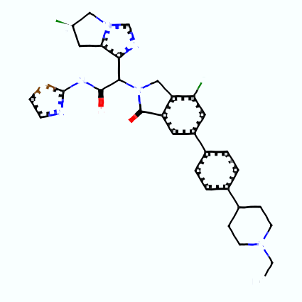 CCN1CCC(c2ccc(-c3cc(F)c4c(c3)C(=O)N(C(C(=O)Nc3nccs3)c3ncn5c3C[C@@H](F)C5)C4)cc2)CC1